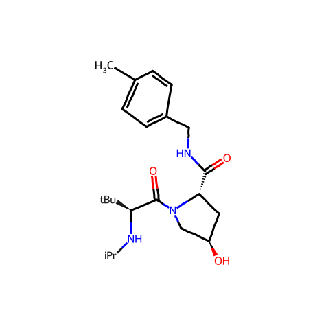 Cc1ccc(CNC(=O)[C@@H]2C[C@@H](O)CN2C(=O)[C@@H](NC(C)C)C(C)(C)C)cc1